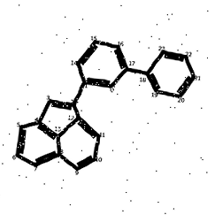 [c]1c(C2=Cc3cccc4cccc2c34)cccc1-c1ccccc1